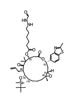 C=CC[C@H]1C(=O)C(C)(C)[C@@H](OC(=O)CCCCCNNC=O)CC(=O)O[C@H](c2ccc3sc(C)nc3c2)C[C@@H]2O[C@]2(C)CCC[C@H](C)[C@@H]1O[Si](C)(C)C(C)(C)C